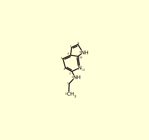 CCNc1ccc2cc[nH]c2n1